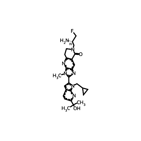 Cn1c(-c2cc3ccc(C(C)(C)O)nc3n2CC2CC2)nc2cc3c(nc21)CCN(C[C@H](N)CF)C3=O